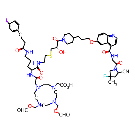 CC1(F)C[C@H](C#N)N(C(=O)CNC(=O)c2ccnc3ccc(OCCCC4CCN(C(=O)[C@H](O)CSCCNC(=O)C(CCCNC(=O)CCCc5ccc(I)cc5)NC(=O)CN5CCN(COC=O)CCN(COC=O)CCN(CC(=O)O)CC5)CC4)cc23)C1